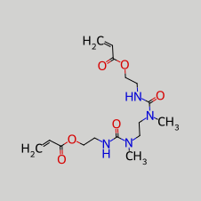 C=CC(=O)OCCNC(=O)N(C)CCN(C)C(=O)NCCOC(=O)C=C